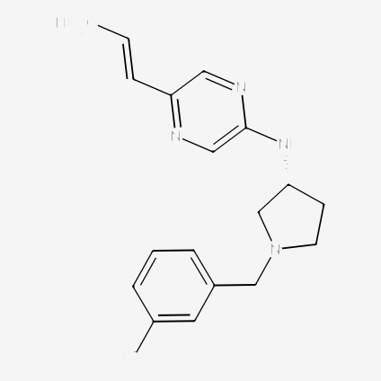 O=C(O)/C=C/c1cnc(N[C@@H]2CCN(Cc3cccc(Cl)c3)C2)cn1